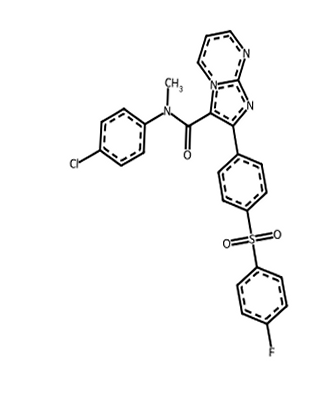 CN(C(=O)c1c(-c2ccc(S(=O)(=O)c3ccc(F)cc3)cc2)nc2ncccn12)c1ccc(Cl)cc1